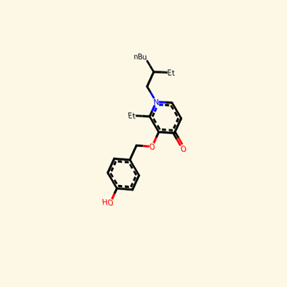 CCCCC(CC)Cn1ccc(=O)c(OCc2ccc(O)cc2)c1CC